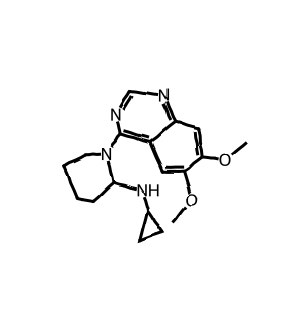 COc1cc2ncnc(N3CCCCC3NC3CC3)c2cc1OC